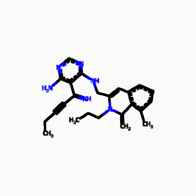 C=C1c2c(C)cccc2C=C(CNc2ncnc(N)c2C(=N)C#CCC)N1CCC